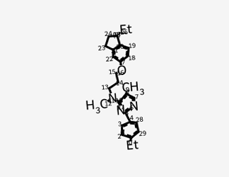 CCc1ccc(-c2ncc(C)c(N(C)CCCOc3ccc4c(c3)CC[C@H]4CC)n2)cc1